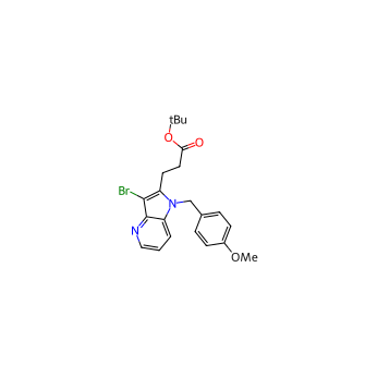 COc1ccc(Cn2c(CCC(=O)OC(C)(C)C)c(Br)c3ncccc32)cc1